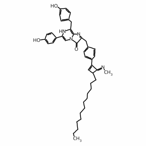 CCCCCCCCCCCCCC1C=C(c2ccc(Cc3nc4c(Cc5ccc(O)cc5)[nH]c(-c5ccc(O)cc5)cn-4c3=O)cc2)/C1=N/C